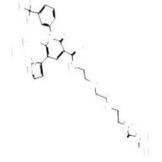 CNC(=O)NCCOCCOCCNC(=O)c1cc(-c2ccnn2C)c(C)n(-c2cccc(C(F)(F)F)c2)c1=O